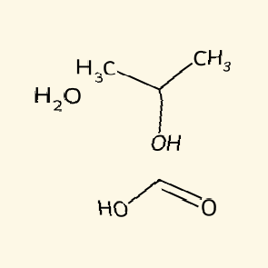 CC(C)O.O.O=CO